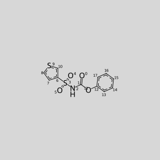 O=C(NS(=O)(=O)c1ccsc1)Oc1ccccc1